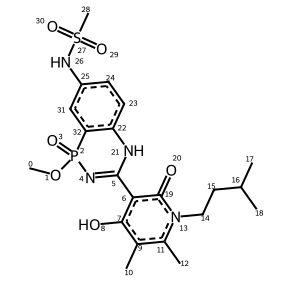 COP1(=O)N=C(c2c(O)c(C)c(C)n(CCC(C)C)c2=O)Nc2ccc(NS(C)(=O)=O)cc21